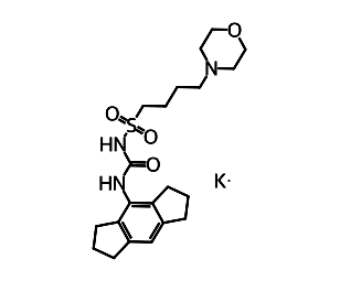 O=C(Nc1c2c(cc3c1CCC3)CCC2)NS(=O)(=O)CCCCN1CCOCC1.[K]